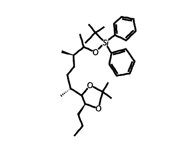 CCC[C@@H]1OC(C)(C)OC1[C@H](C)CC[C@@H](C)C(C)O[Si](c1ccccc1)(c1ccccc1)C(C)(C)C